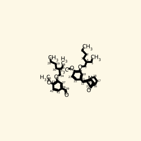 CCCCC(CC)COc1cc(C=C2C(=O)C3CCN2CC3)ccc1OC.CCCCC(CC)COc1cc(C=O)ccc1OC